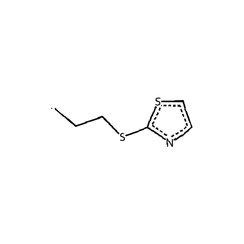 [CH2]CCSc1nccs1